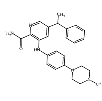 CC(c1ccccc1)c1cnc(C(N)=O)c(Nc2ccc(N3CCN(C)CC3)cc2)c1